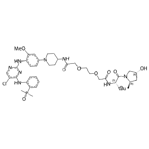 COc1cc(N2CCC(NC(=O)COCCOCC(=O)N[C@H](C(=O)N3C[C@H](O)C[C@H]3C)C(C)(C)C)CC2)ccc1Nc1ncc(Cl)c(Nc2ccccc2P(C)(C)=O)n1